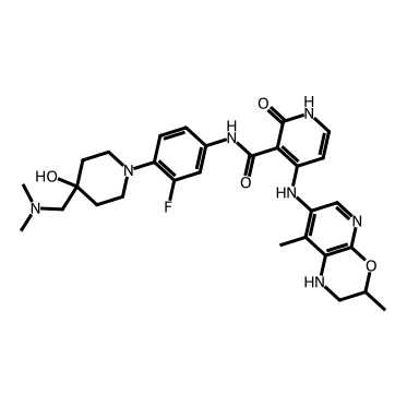 Cc1c(Nc2cc[nH]c(=O)c2C(=O)Nc2ccc(N3CCC(O)(CN(C)C)CC3)c(F)c2)cnc2c1NCC(C)O2